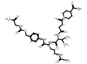 CC(=O)CNC(=O)OCc1ccc(NC(=O)[C@H](CCCNC(N)=O)NC(=O)[C@@H](NC(=O)CCC(=O)N2CCC(C(=O)O)CC2)C(C)C)cc1